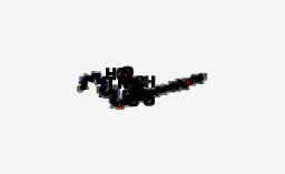 CC/C=C\C/C=C\C/C=C\C/C=C\C/C=C\C/C=C\CCC(=O)OC(COC(=O)CCCCCCCCCCCCCCC)COP(O)OCC(N)C(=O)O